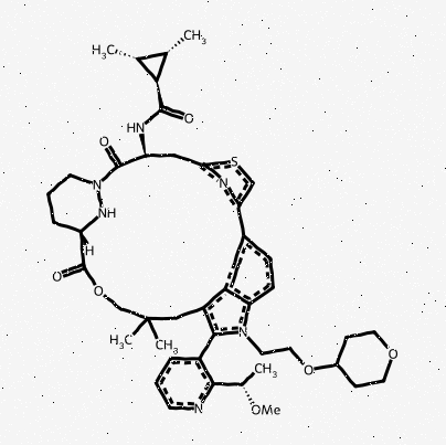 CO[C@@H](C)c1ncccc1-c1c2c3cc(ccc3n1CCOC1CCOCC1)-c1csc(n1)C[C@H](NC(=O)[C@H]1[C@H](C)[C@@H]1C)C(=O)N1CCC[C@H](N1)C(=O)OCC(C)(C)C2